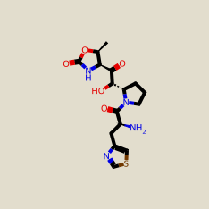 C[C@@H]1OC(=O)N[C@@H]1C(=O)C(O)[C@@H]1CCCN1C(=O)[C@@H](N)Cc1cscn1